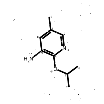 Cc1cnc(OC(C)C)c(N)c1